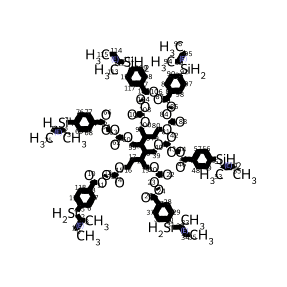 C/C=C(\C)[SiH2]c1ccc(C(=O)OOC(=O)OCCC(COC(=O)OOC(=O)c2ccc([SiH2]/C(C)=C/C)cc2)C(COC(=O)OOC(=O)c2ccc([SiH2]/C(C)=C/C)cc2)C(COC(=O)OOC(=O)c2ccc([SiH2]/C(C)=C/C)cc2)C(CCOC(=O)OOC(=O)c2ccc([SiH2]/C(C)=C/C)cc2)COC(=O)OOC(=O)c2ccc([SiH2]/C(C)=C/C)cc2)cc1